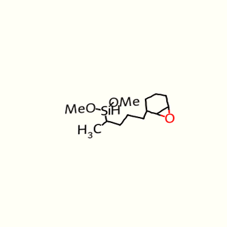 CO[SiH](OC)C(C)CCCC1CCCC2OC12